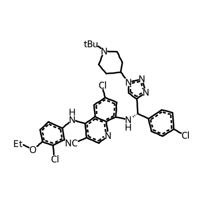 CCOc1ccc(Nc2c(C#N)cnc3c(N[C@@H](c4ccc(Cl)cc4)c4cn(C5CCN(C(C)(C)C)CC5)nn4)cc(Cl)cc23)cc1Cl